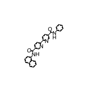 O=C(Nc1ccccc1)c1ccc(-c2ccc(C(=O)Nc3cccc4ccccc34)cn2)nc1